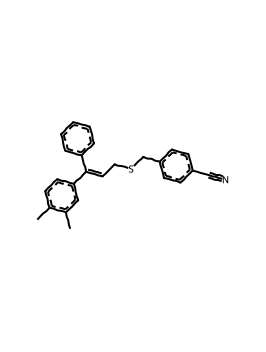 Cc1ccc(C(=CCSCc2ccc(C#N)cc2)c2ccccc2)cc1C